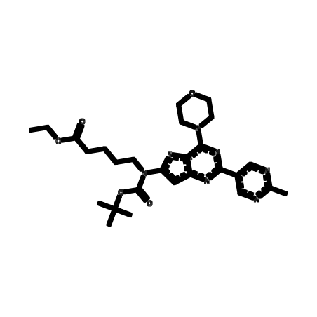 CCOC(=O)CCCCN(C(=O)OC(C)(C)C)c1cc2nc(-c3cnc(C)nc3)nc(N3CCOCC3)c2s1